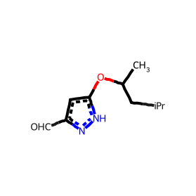 CC(C)CC(C)Oc1cc(C=O)n[nH]1